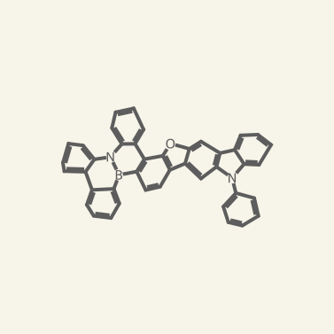 c1ccc(-n2c3ccccc3c3cc4oc5c6c(ccc5c4cc32)B2c3ccccc3-c3ccccc3N2c2ccccc2-6)cc1